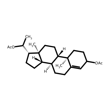 CC(=O)OC1C=C2CC[C@H]3[C@@H]4CC[C@H](C(C)OC(C)=O)[C@@]4(C)CC[C@@H]3[C@@]2(C)CC1